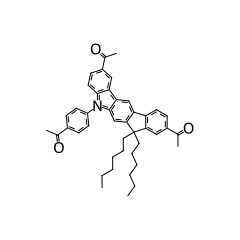 CCCCCCC1(CCCCCC)c2cc(C(C)=O)ccc2-c2cc3c4cc(C(C)=O)ccc4n(-c4ccc(C(C)=O)cc4)c3cc21